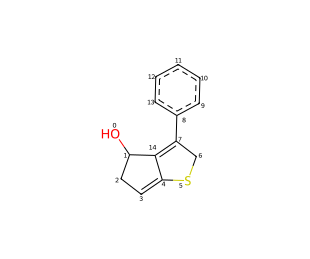 OC1CC=C2SCC(c3ccccc3)=C21